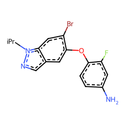 CC(C)n1ncc2cc(Oc3ccc(N)cc3F)c(Br)cc21